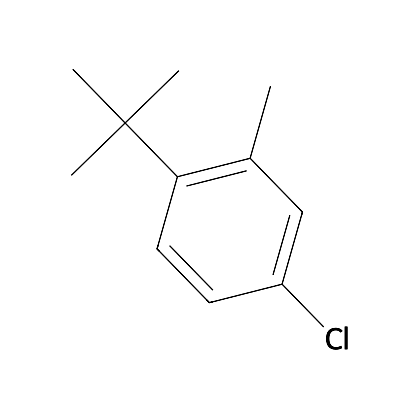 Cc1cc(Cl)ccc1C(C)(C)C